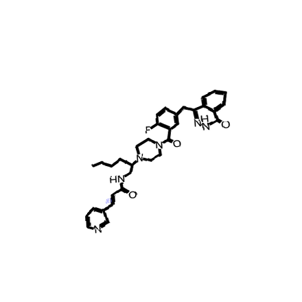 CCCCC(CNC(=O)/C=C/c1cccnc1)N1CCN(C(=O)c2cc(Cc3n[nH]c(=O)c4ccccc34)ccc2F)CC1